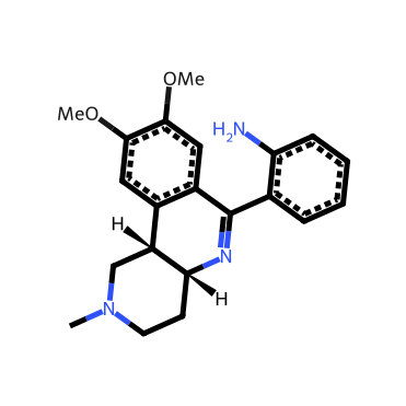 COc1cc2c(cc1OC)[C@H]1CN(C)CC[C@H]1N=C2c1ccccc1N